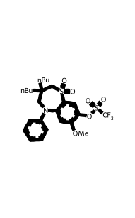 CCCCC1(CCCC)CN(c2ccccc2)c2cc(OC)c(OS(=O)(=O)C(F)(F)F)cc2S(=O)(=O)C1